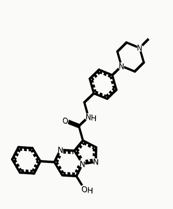 CN1CCN(c2ccc(CNC(=O)c3cnn4c(O)cc(-c5ccccc5)nc34)cc2)CC1